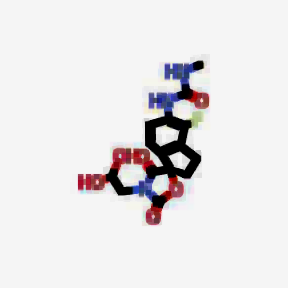 CNC(=O)Nc1ccc2c(c1F)CC[C@]21OC(=O)N(CC(O)O)C1=O